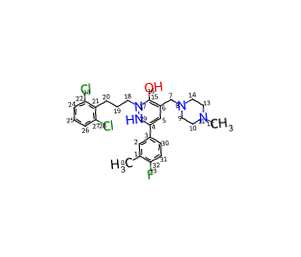 Cc1cc(C2=CC(CN3CCN(C)CC3)=C(O)N(CCCc3c(Cl)cccc3Cl)N2)ccc1F